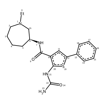 CCN1CCCC[C@H](NC(=O)c2cc(-c3ccccc3)sc2NC(N)=O)C1